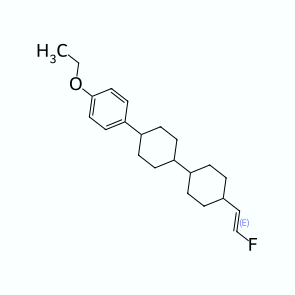 CCOc1ccc(C2CCC(C3CCC(/C=C/F)CC3)CC2)cc1